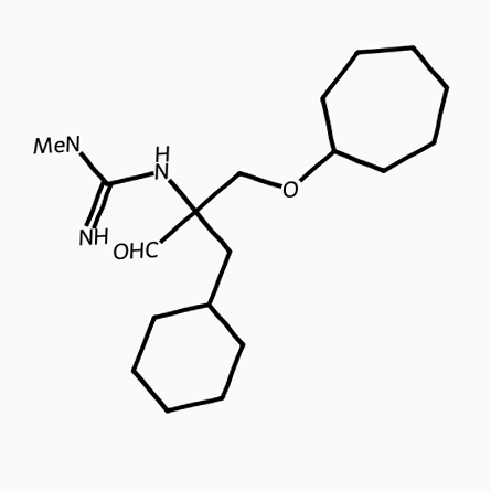 CNC(=N)NC(C=O)(COC1CCCCCC1)CC1CCCCC1